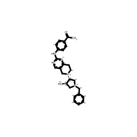 CC(=O)c1ccc(Nc2ncc3c(n2)CCN([C@@H]2CN(Cc4ccccc4)C[C@H]2O)C3)cc1